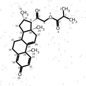 CC(C)C(=O)OCC(=O)[C@H]1[C@@H](C)CC2C3CCC4=CC(=O)C=C[C@]4(C)C3=CC[C@@]21C